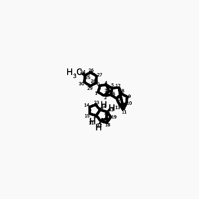 C1CC2CC1C1C2C2C3CC4C(C31)C42.C1C[C@@H]2[C@H]3CC[C@H](C3)[C@@H]2C1.CC1CCCCC1